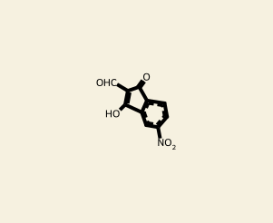 O=CC1=C(O)c2cc([N+](=O)[O-])ccc2C1=O